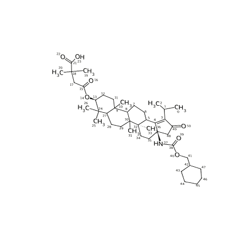 CC(C)C1=C2C3CCC4C5(C)CC[C@H](OC(=O)CC(C)(C)C(=O)O)C(C)(C)C5CCC4(C)[C@]3(C)CC[C@@]2(NC(=O)OCC2CCCCC2)CC1=O